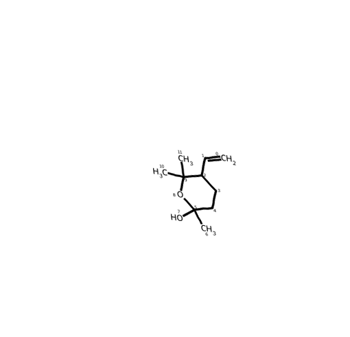 C=CC1CCC(C)(O)OC1(C)C